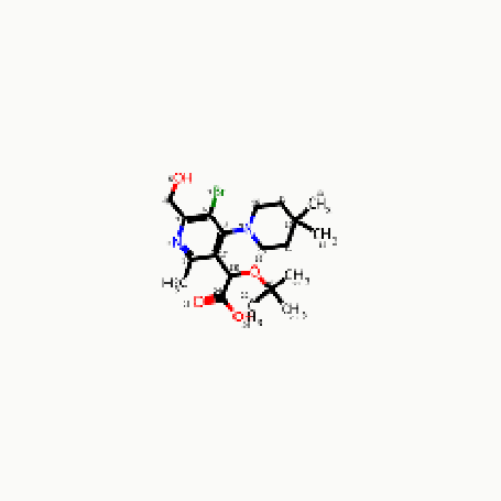 Cc1nc(CO)c(Br)c(N2CCC(C)(C)CC2)c1C(OC(C)(C)C)C(=O)O